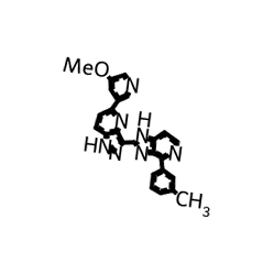 COc1cncc(-c2ccc3[nH]nc(-c4nc5c(-c6cccc(C)c6)nccc5[nH]4)c3n2)c1